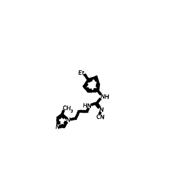 CCc1ccc(NC(=NC#N)NCCCn2cncc2C)cc1